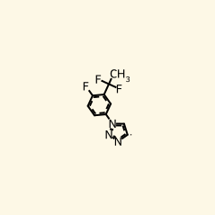 CC(F)(F)c1cc(-n2c[c]nn2)ccc1F